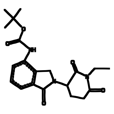 CCN1C(=O)CCC(N2Cc3c(NC(=O)OC(C)(C)C)cccc3C2=O)C1=O